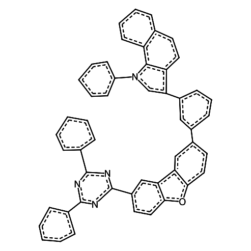 c1ccc(-c2nc(-c3ccccc3)nc(-c3ccc4oc5ccc(-c6cccc(-c7cn(-c8ccccc8)c8c7ccc7ccccc78)c6)cc5c4c3)n2)cc1